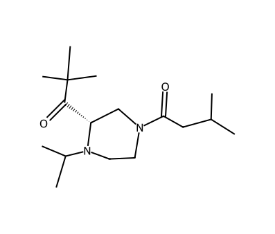 CC(C)CC(=O)N1CCN(C(C)C)[C@H](C(=O)C(C)(C)C)C1